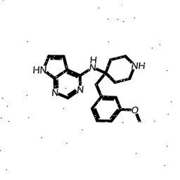 COc1cccc(CC2(Nc3ncnc4[nH]ccc34)CCNCC2)c1